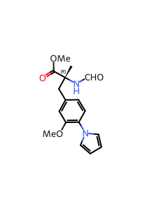 COC(=O)[C@@](C)(Cc1ccc(-n2cccc2)c(OC)c1)NC=O